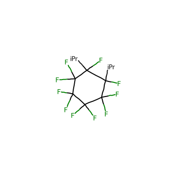 CC(C)C1(F)C(F)(F)C(F)(F)C(F)(F)C(F)(F)C1(F)C(C)C